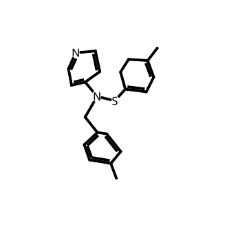 CC1=C=C=C(CN(SC2=CC=C(C)CC2)c2ccncc2)C=C1